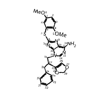 COc1ccc(OC)c(Sc2nc3c(N)ncn(CC(Cc4ccccc4)C4=COCO4)c-3n2)c1